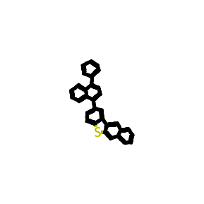 c1ccc(-c2ccc(-c3ccc4sc5cc6ccccc6cc5c4c3)c3ccccc23)cc1